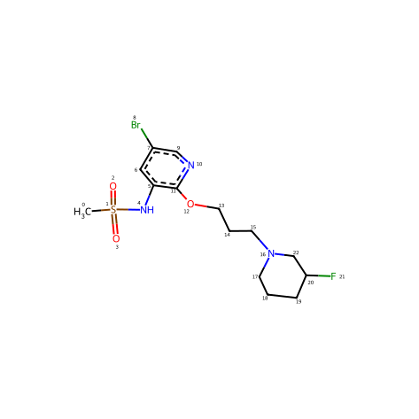 CS(=O)(=O)Nc1cc(Br)cnc1OCCCN1CCCC(F)C1